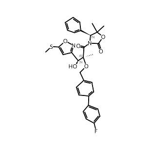 CSc1cc([C@H](O)[C@](C)(OCc2ccc(-c3ccc(F)cc3)cc2)C(=O)N2C(=O)OC(C)(C)[C@@H]2c2ccccc2)no1